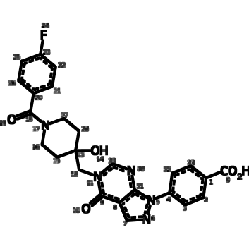 O=C(O)c1ccc(-n2ncc3c(=O)n(CC4(O)CCN(C(=O)c5ccc(F)cc5)CC4)cnc32)cc1